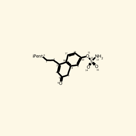 CCCC(C)CCC1=CC(=O)Cc2cc(OS(N)(=O)=O)ccc21